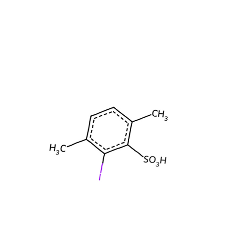 Cc1ccc(C)c(S(=O)(=O)O)c1I